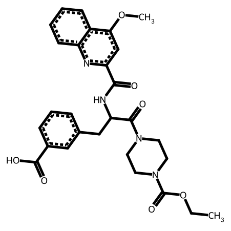 CCOC(=O)N1CCN(C(=O)C(Cc2cccc(C(=O)O)c2)NC(=O)c2cc(OC)c3ccccc3n2)CC1